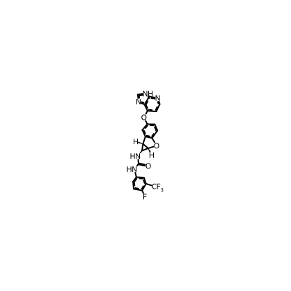 O=C(Nc1ccc(F)c(C(F)(F)F)c1)N[C@@H]1[C@H]2Oc3ccc(Oc4ccnc5[nH]cnc45)cc3[C@@H]12